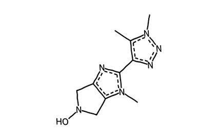 Cc1c(-c2nc3c(n2C)CN(O)C3)nnn1C